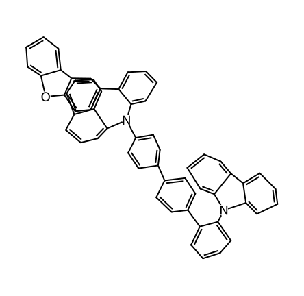 c1ccc(N(c2ccc(-c3ccc(-c4ccccc4-n4c5ccccc5c5ccccc54)cc3)cc2)c2cccc3ccccc23)c(-c2ccc3oc4ccccc4c3c2)c1